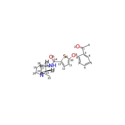 CC(=O)c1ccccc1Oc1ccc(C(=O)N[C@@H]2C3CCN(CC3)[C@H]2C)s1